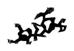 CNC(=O)c1cc(C2(C#N)CCC2)cc(NS(=O)(=O)c2cc(Br)cc(OC(F)(F)F)c2O)c1O